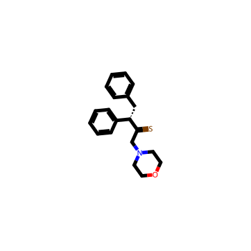 S=C(CN1CCOCC1)[C@@H](Cc1ccccc1)c1ccccc1